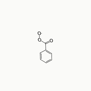 [O]OC(=O)c1ccccc1